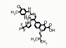 C=C(/N=C\C(=C(/N)n1ccc(C(F)(F)F)n1)c1ccc2c(c1)c(=O)c(C(=O)O)cn2CCN(C)C)Nc1ccc(C)c(Cl)c1